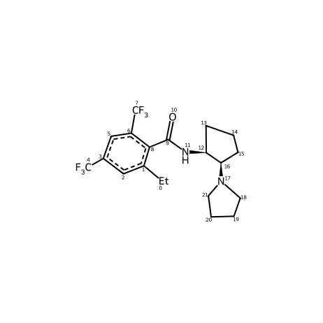 CCc1cc(C(F)(F)F)cc(C(F)(F)F)c1C(=O)N[C@H]1CCC[C@H]1N1CCCC1